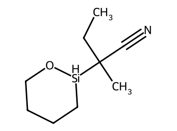 CCC(C)(C#N)[SiH]1CCCCO1